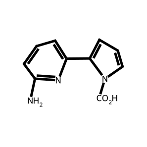 Nc1cccc(-c2cccn2C(=O)O)n1